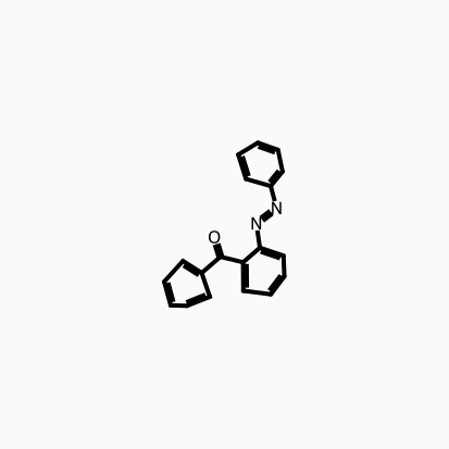 O=C(c1ccccc1)c1ccccc1N=Nc1ccccc1